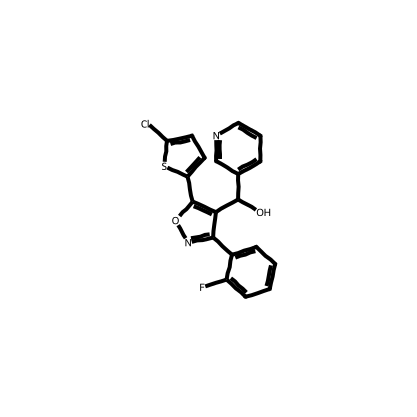 OC(c1cccnc1)c1c(-c2ccccc2F)noc1-c1ccc(Cl)s1